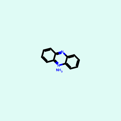 N.c1ccc2nc3ccccc3nc2c1